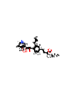 C=CCc1cc(CCC(=O)OC)ccc1C#CC1(O)CN2CCC1CC2